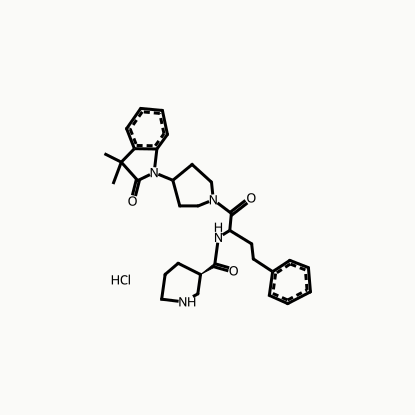 CC1(C)C(=O)N(C2CCN(C(=O)C(CCc3ccccc3)NC(=O)[C@@H]3CCCNC3)CC2)c2ccccc21.Cl